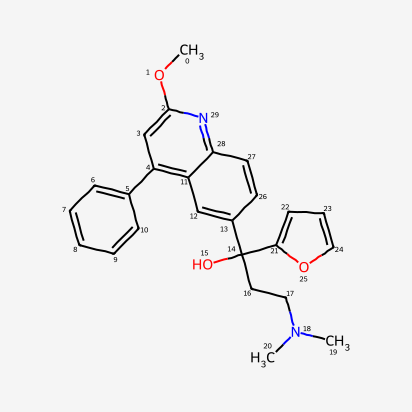 COc1cc(-c2ccccc2)c2cc(C(O)(CCN(C)C)c3ccco3)ccc2n1